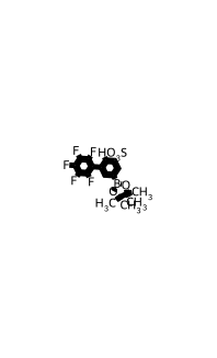 CC1(C)OB(c2ccc(S(=O)(=O)O)c(-c3c(F)c(F)c(F)c(F)c3F)c2)OC1(C)C